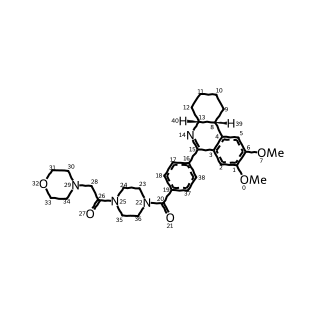 COc1cc2c(cc1OC)[C@H]1CCCC[C@H]1N=C2c1ccc(C(=O)N2CCN(C(=O)CN3CCOCC3)CC2)cc1